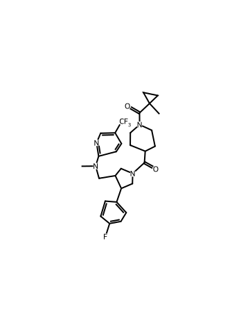 CN(CC1CN(C(=O)C2CCN(C(=O)C3(C)CC3)CC2)CC1c1ccc(F)cc1)c1ccc(C(F)(F)F)cn1